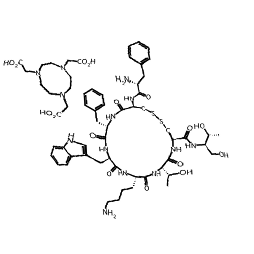 CC(O)[C@@H]1NC(=O)[C@H](CCCCN)NC(=O)[C@@H](Cc2c[nH]c3ccccc23)NC(=O)[C@H](Cc2ccccc2)NC(=O)[C@@H](NC(=O)[C@H](N)Cc2ccccc2)CSSC[C@@H](C(=O)N[C@H](CO)[C@@H](C)O)NC1=O.O=C(O)CN1CCN(CC(=O)O)CCN(CC(=O)O)CC1